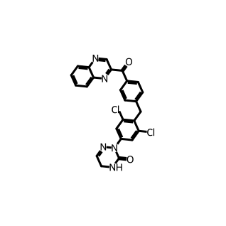 O=C(c1ccc(Cc2c(Cl)cc(N3N=CCNC3=O)cc2Cl)cc1)c1cnc2ccccc2n1